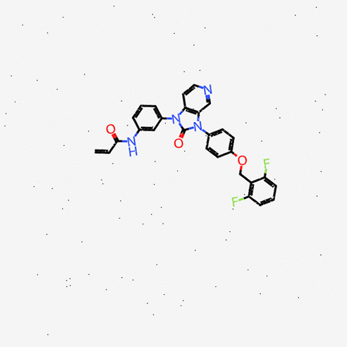 C=CC(=O)Nc1cccc(-n2c(=O)n(-c3ccc(OCc4c(F)cccc4F)cc3)c3cnccc32)c1